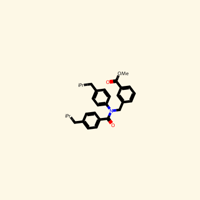 COC(=O)c1cccc(CN(C(=O)c2ccc(CC(C)C)cc2)c2ccc(CC(C)C)cc2)c1